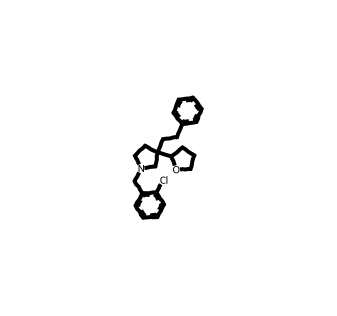 Clc1ccccc1CN1CCC(CCc2ccccc2)(C2CCCO2)C1